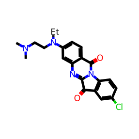 CCN(CCN(C)C)c1ccc2c(=O)n3c(nc2c1)C(=O)c1cc(Cl)ccc1-3